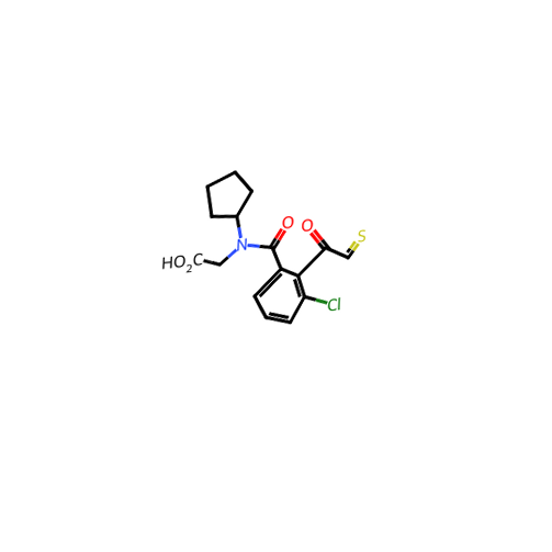 O=C(O)CN(C(=O)c1cccc(Cl)c1C(=O)C=S)C1CCCC1